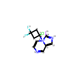 FC1(F)CC(Cl)([N+]23C=CN=CC2=CN=C3I)C1